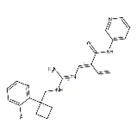 C=C/C(=C\N=C(/N)NCC1(c2ncccc2F)CCC1)C(=O)Nc1cccnc1